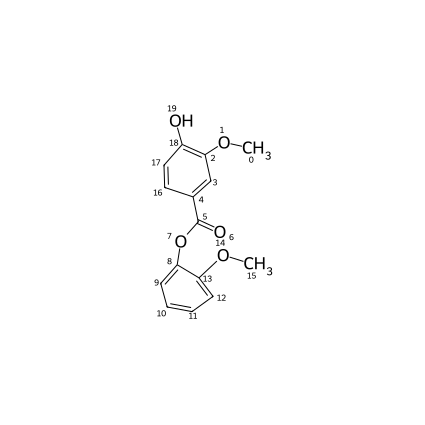 COc1cc(C(=O)Oc2ccccc2OC)ccc1O